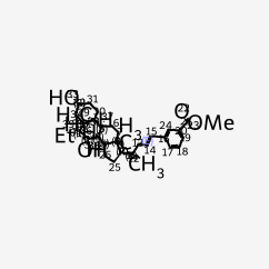 CC[C@H]1[C@@H](O)[C@@H]2[C@H](CC[C@]3(C)[C@@H]([C@H](C)C/C=C/c4cccc(C(=O)OC)c4)CC[C@@H]23)[C@@]2(C)CC[C@@H](O)C[C@@H]12